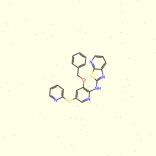 c1ccc(COc2cc(Sc3ccccn3)cnc2Nc2nc3cccnc3s2)cc1